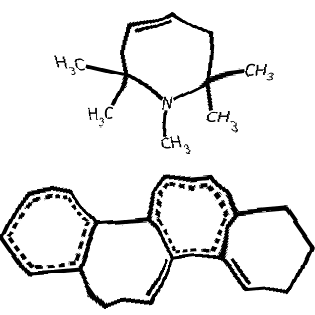 C1=c2c(ccc3c2=CCc2ccccc2-3)CCC1.CN1C(C)(C)C=CCC1(C)C